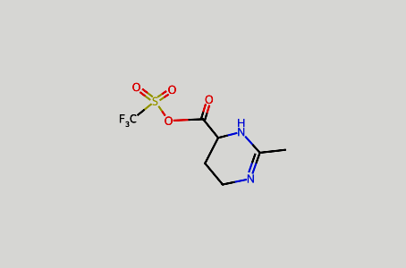 CC1=NCCC(C(=O)OS(=O)(=O)C(F)(F)F)N1